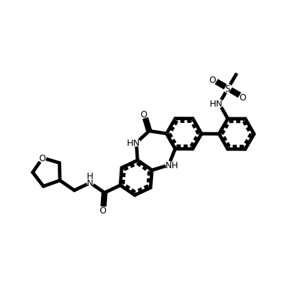 CS(=O)(=O)Nc1ccccc1-c1ccc2c(c1)Nc1ccc(C(=O)NCC3CCOC3)cc1NC2=O